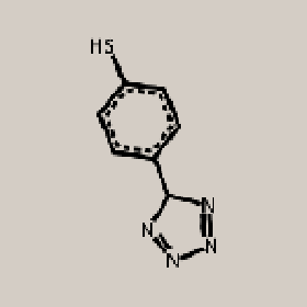 Sc1ccc(C2N=NN=N2)cc1